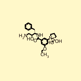 CCOc1cc(C(=O)N[C@@H](Cc2ccccc2)[C@@H](O)CN)cc(N2CCCS2(O)O)c1